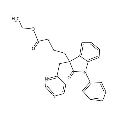 CCOC(=O)CCCC1(Cc2ccncn2)C(=O)N(c2ccccc2)c2ccccc21